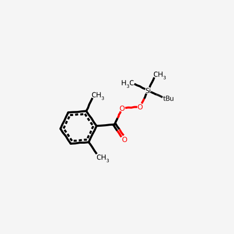 Cc1cccc(C)c1C(=O)OO[Si](C)(C)C(C)(C)C